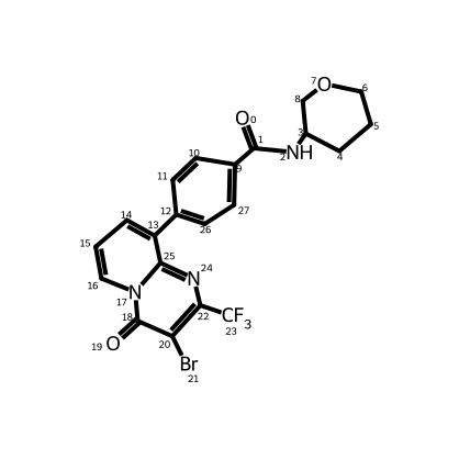 O=C(NC1CCCOC1)c1ccc(-c2cccn3c(=O)c(Br)c(C(F)(F)F)nc23)cc1